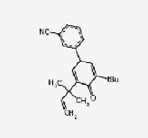 C=CC(C)(C)C1=CC(c2cccc(C#N)c2)C=C(C(C)(C)C)C1=O